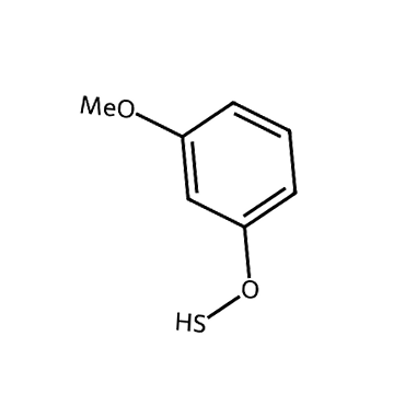 COc1cccc(OS)c1